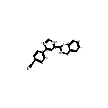 N#Cc1ccc(-c2cc(C3OCc4ccccc4O3)ncn2)cc1